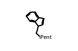 CCCC(C)CC1C=Cc2ccccc21